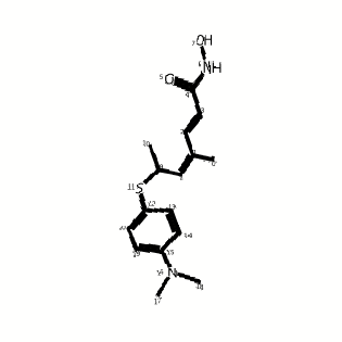 CC(C=CC(=O)NO)=CC(C)Sc1ccc(N(C)C)cc1